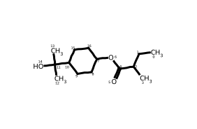 CCC(C)C(=O)OC1CCC(C(C)(C)O)CC1